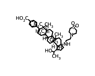 CC(O)[C@@H]1CC[C@]2(NCCN3CCS(=O)(=O)CC3)CC[C@]3(C)[C@H](CC[C@@H]4[C@@]5(C)CC=C(c6ccc(C(=O)O)cc6)C(C)(C)[C@@H]5CC[C@]43C)[C@@H]12